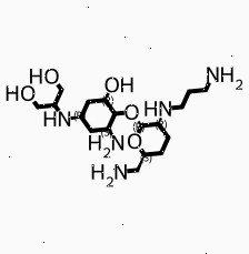 NCCCN[C@@H]1CC[C@@H](CN)O[C@@H]1OC1[C@H](O)C[C@H](NC(CO)CO)C[C@@H]1N